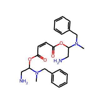 CN(Cc1ccccc1)C(CN)OC(=O)/C=C\C(=O)OC(CN)N(C)Cc1ccccc1